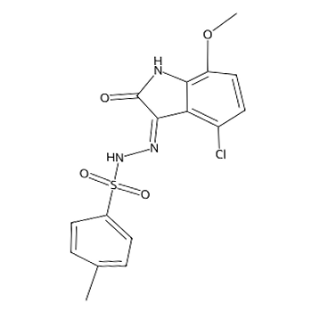 COc1ccc(Cl)c2c1NC(=O)C2=NNS(=O)(=O)c1ccc(C)cc1